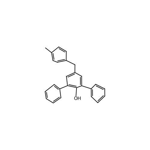 Cc1ccc(Cc2cc(-c3ccccc3)c(O)c(-c3ccccc3)c2)cc1